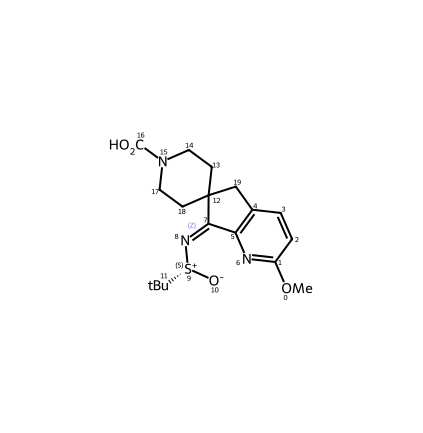 COc1ccc2c(n1)/C(=N\[S@+]([O-])C(C)(C)C)C1(CCN(C(=O)O)CC1)C2